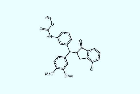 COc1ccc(C(c2cccc(NC(=O)OC(C)(C)C)c2)N2Cc3c(Cl)cccc3C2=O)cc1OC